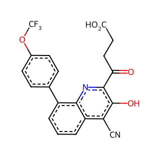 N#Cc1c(O)c(C(=O)CCC(=O)O)nc2c(-c3ccc(OC(F)(F)F)cc3)cccc12